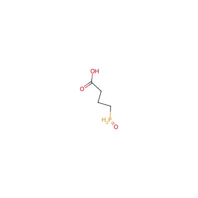 O=[PH2]CCCC(=O)O